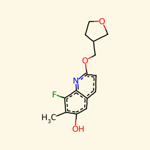 Cc1c(O)cc2ccc(OCC3CCOC3)nc2c1F